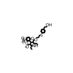 CCC1=C(C(=O)OC)C(c2cccc([N+](=O)[O-])c2)C(C(=O)OCCCSc2ccc(CCO)cc2)=C(CC)N1